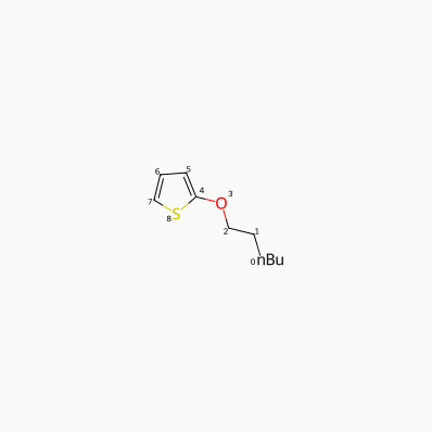 CCCCCCOc1cccs1